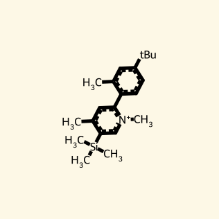 Cc1cc(C(C)(C)C)ccc1-c1cc(C)c([Si](C)(C)C)c[n+]1C